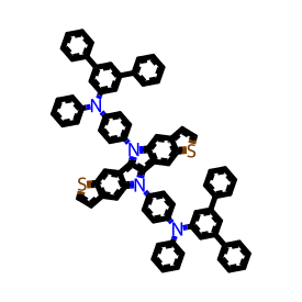 c1ccc(-c2cc(-c3ccccc3)cc(N(c3ccccc3)c3ccc(-n4c5cc6ccsc6cc5c5c4c4cc6sccc6cc4n5-c4ccc(N(c5ccccc5)c5cc(-c6ccccc6)cc(-c6ccccc6)c5)cc4)cc3)c2)cc1